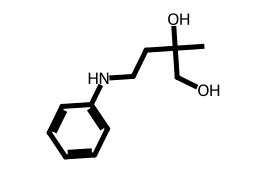 CC(O)(CO)CCNc1ccccc1